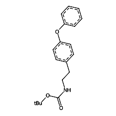 CC(C)(C)OC(=O)NCCc1ccc(Oc2ccccc2)cc1